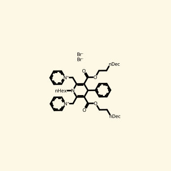 CCCCCCCCCCCCOC(=O)C1=C(C[n+]2ccccc2)N(CCCCCC)C(C[n+]2ccccc2)=C(C(=O)OCCCCCCCCCCCC)C1c1ccccc1.[Br-].[Br-]